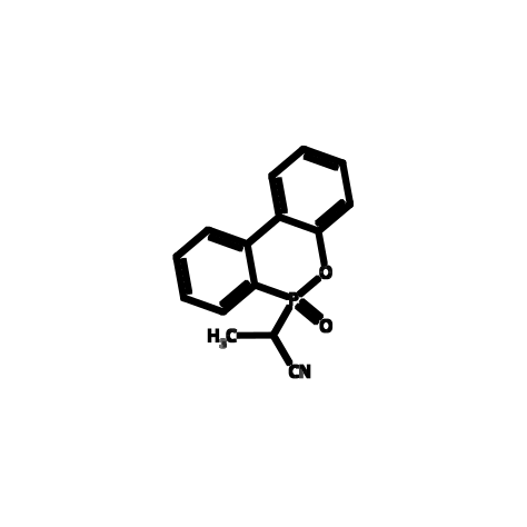 CC(C#N)P1(=O)Oc2ccccc2-c2ccccc21